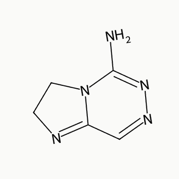 NC1=NN=CC2=NCCN12